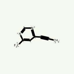 [CH2]C#Cc1cc(C(F)(F)F)ncn1